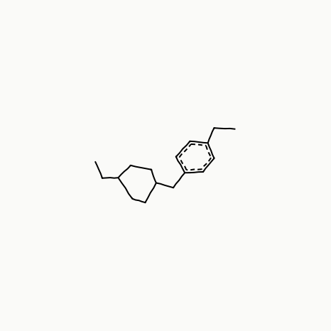 CCc1ccc(CC2CCC(CC)CC2)cc1